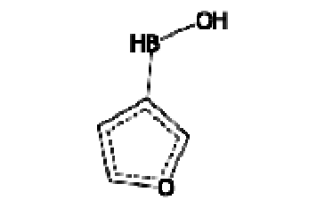 OBc1ccoc1